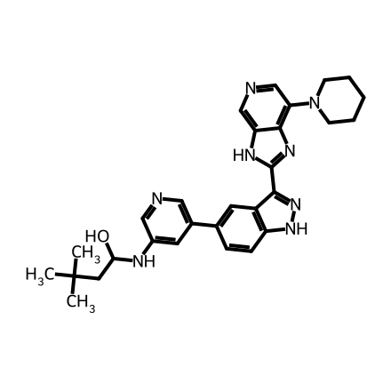 CC(C)(C)CC(O)Nc1cncc(-c2ccc3[nH]nc(-c4nc5c(N6CCCCC6)cncc5[nH]4)c3c2)c1